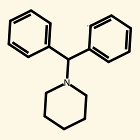 [c]1ccccc1C(c1ccccc1)N1CCCCC1